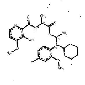 COc1cc(F)ccc1[C@H](C1CCCCC1)[C@H](C)OC(=O)[C@H](C)NC(=O)c1nccc(OC)c1O